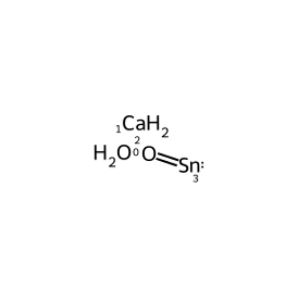 O.[CaH2].[O]=[Sn]